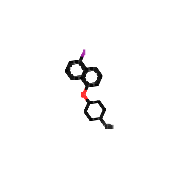 CC(C)(C)C1CCC(Oc2cccc3c(I)cccc23)CC1